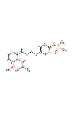 CCOc1cccc(NCCCc2ccc(OS(C)(=O)=O)cc2)c1OC(=O)CC